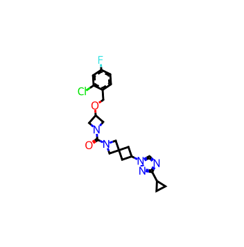 O=C(N1CC(OCc2ccc(F)cc2Cl)C1)N1CC2(CC(n3cnc(C4CC4)n3)C2)C1